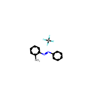 F[B-](F)(F)F.O=[N+]([O-])c1ccccc1N=Nc1ccccc1